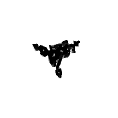 C[C@H]1C[C@H](NCOC(=O)c2c(O)c3cc(-c4ccc(F)cc4)cnc3n(CCN3CCOCC3)c2=O)C1